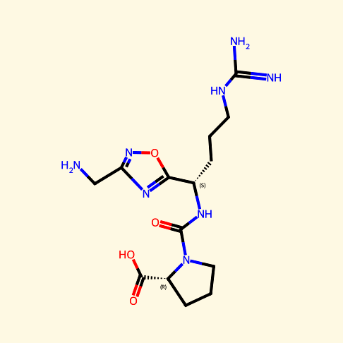 N=C(N)NCCC[C@H](NC(=O)N1CCC[C@@H]1C(=O)O)c1nc(CN)no1